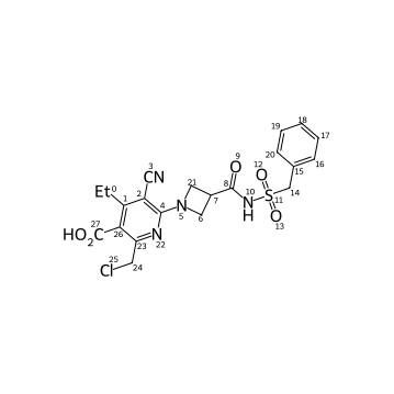 CCc1c(C#N)c(N2CC(C(=O)NS(=O)(=O)Cc3ccccc3)C2)nc(CCl)c1C(=O)O